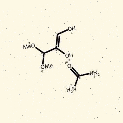 COC(OC)/C(O)=C/O.NC(N)=O